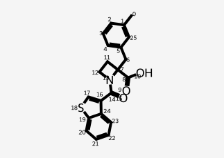 Cc1cccc(CC2(C(=O)O)CCN2C(=O)c2csc3ccccc23)c1